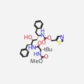 COC(=O)N[C@H](C(=O)N[C@@H](Cc1ccccc1)[C@@H](O)C[C@H](Cc1ccccc1)NC(=O)OCc1cncs1)C(C)(C)C